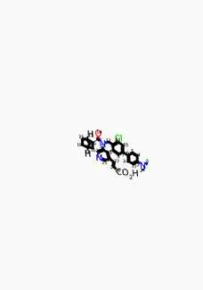 CN(C)c1ccc(-c2ccc(CN(C(=O)[C@@H]3C[C@@H]4CC[C@H]3C4)c3cncc(/C=C/C(=O)O)c3)c(Cl)c2)cc1